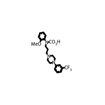 COc1ccccc1N(CCCN1CCN(c2cccc(C(F)(F)F)c2)CC1)C(=O)O